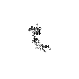 N#Cc1ccc(-c2cc3ccn(CCC[C@H](COC(F)F)Nc4cn[nH]c(=O)c4C(F)(F)F)c(=O)c3cc2F)nc1N